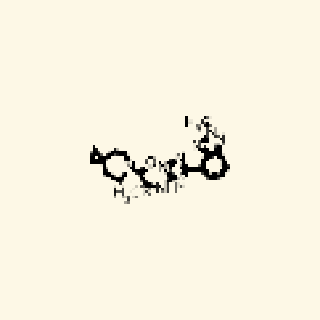 C[C@@H](Nc1nnc(-c2cccc3nn(C)nc23)o1)C(=O)N1CCC2(CC1)CC2